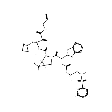 C=CCNC(=O)C(=O)C(CC1CCC1)NC(=O)[C@@H]1[C@@H]2[C@H](CN1C(=O)[C@@H](NC(=O)N[C@H](CN(C)S(=O)(=O)c1ccccn1)C(C)(C)C)C1Cc3ccccc3C1)C2(C)C